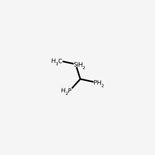 C[SiH2]C(P)P